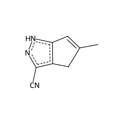 CC1=Cc2[nH]nc(C#N)c2C1